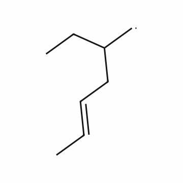 [CH2]C(CC)CC=CC